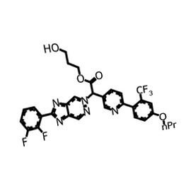 CCCOc1ccc(-c2ccc(C(C(=O)OCCCO)n3cc4nc(-c5cccc(F)c5F)nc-4cn3)cn2)c(C(F)(F)F)c1